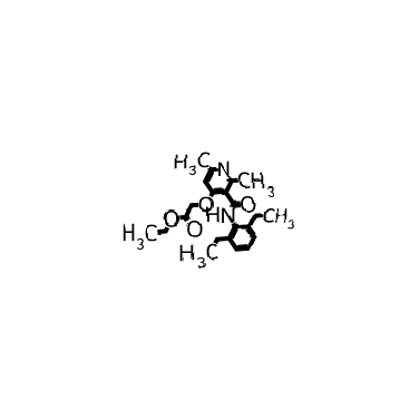 CCOC(=O)COc1cc(C)nc(C)c1C(=O)Nc1c(CC)cccc1CC